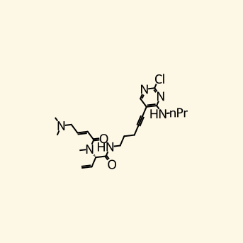 C=C[C@@H](C(=O)NCCCC#Cc1cnc(Cl)nc1NCCC)N(C)C(=O)/C=C/CN(C)C